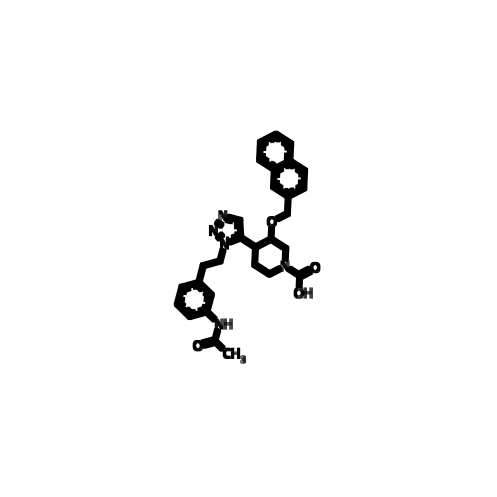 CC(=O)Nc1cccc(CCn2nncc2C2CCN(C(=O)O)CC2OCc2ccc3ccccc3c2)c1